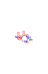 CC(C)CC1CC(=O)N(C)C[C@H](C)C[C@@](C)(O)[C@H](O[C@@H]2O[C@H](C)C[C@H](N(C)C)[C@H]2O)[C@@H](C)[C@H](O)[C@@H](C)C(=O)N1